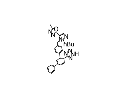 CCCCc1ncc(-c2nnc(C)o2)n1Cc1ccc(-c2cc(-c3ccccc3)ccc2-c2nn[nH]n2)cc1